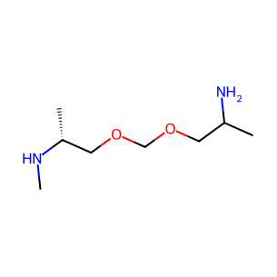 CN[C@H](C)COCOCC(C)N